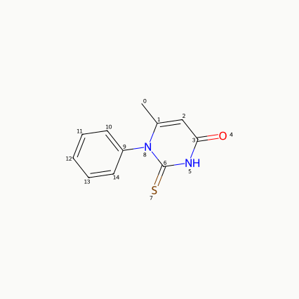 Cc1cc(=O)[nH]c(=S)n1-c1ccccc1